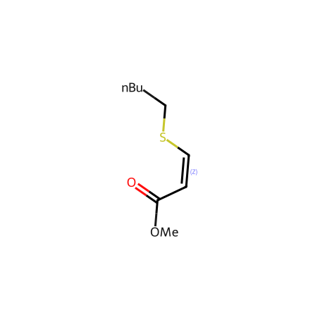 CCCCCS/C=C\C(=O)OC